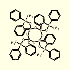 C[Si](OP1(=O)OP(=O)(O[Si](C)(c2ccccc2)c2ccccc2)OP(=O)(O[Si](C)(c2ccccc2)c2ccccc2)OP(=O)(O[Si](C)(c2ccccc2)c2ccccc2)O1)(c1ccccc1)c1ccccc1